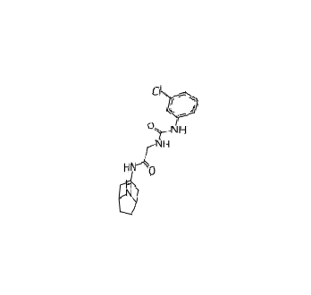 O=C(CNC(=O)Nc1cccc(Cl)c1)NC1CC2CCC(C1)N2